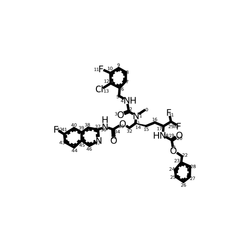 CN(C(=O)NCc1cccc(F)c1Cl)[C@@H](CCC(NC(=O)OCc1ccccc1)C(F)F)COC(=O)Nc1cc2cc(F)ccc2cn1